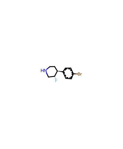 F[C@@H]1CNCC[C@H]1c1ccc(Br)cc1